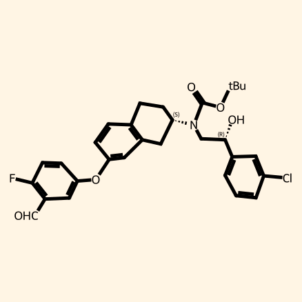 CC(C)(C)OC(=O)N(C[C@H](O)c1cccc(Cl)c1)[C@H]1CCc2ccc(Oc3ccc(F)c(C=O)c3)cc2C1